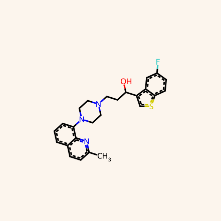 Cc1ccc2cccc(N3CCN(CCC(O)c4csc5ccc(F)cc45)CC3)c2n1